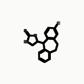 O=C1NCC(C2c3ccccc3CCc3cc(Cl)ccc32)O1